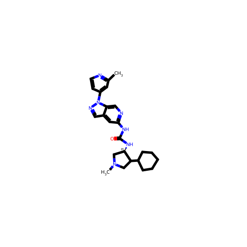 Cc1cc(-n2ncc3cc(NC(=O)N[C@H]4CN(C)CC4C4CCCCC4)ncc32)ccn1